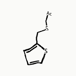 CC(=O)SCc1cccs1